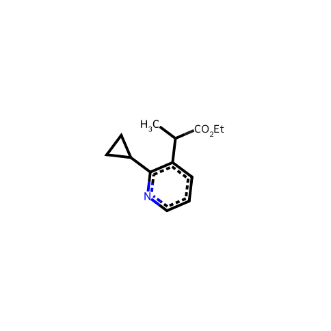 CCOC(=O)C(C)c1cccnc1C1CC1